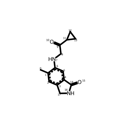 Cc1cc2c(cc1NCC(=O)C1CC1)C(=O)NC2